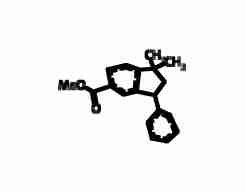 COC(=O)c1ccc2c(c1)C(c1ccccc1)CC2(C)C